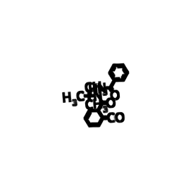 CC(C)(C)N(NC(=O)c1ccccc1)C(=O)C1C=CC=CC1=C=O